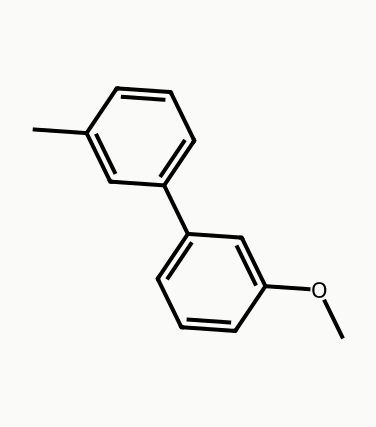 COc1cccc(-c2cccc(C)c2)c1